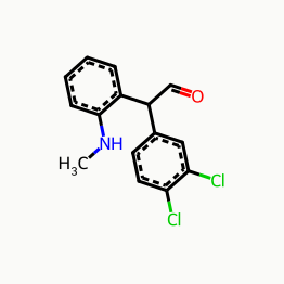 CNc1ccccc1C(C=O)c1ccc(Cl)c(Cl)c1